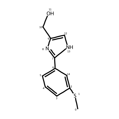 CSc1cccc(-c2nc(CO)c[nH]2)c1